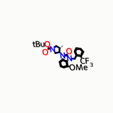 COc1cccc2c1n(Cc1ccccc1C(F)(F)F)c(=O)n2[C@H]1CN(C(=O)OC(C)(C)C)C[C@@H]1C